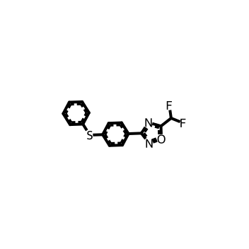 FC(F)c1nc(-c2ccc(Sc3ccccc3)cc2)no1